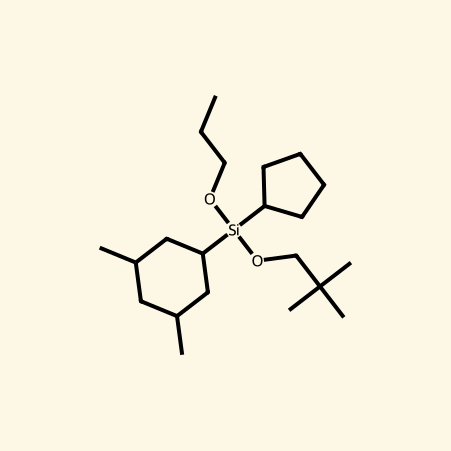 CCCO[Si](OCC(C)(C)C)(C1CCCC1)C1CC(C)CC(C)C1